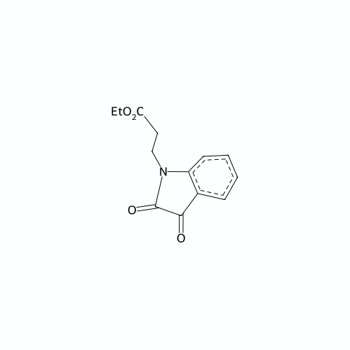 CCOC(=O)CCN1C(=O)C(=O)c2ccccc21